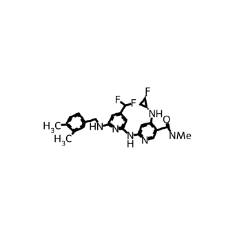 CNC(=O)c1cnc(Nc2cc(C(F)F)cc(NCc3ccc(C)c(C)c3)n2)cc1N[C@@H]1C[C@@H]1F